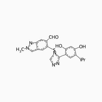 CC(C)c1cc(-c2nncn2Sc2cc3cn(C)nc3cc2C=O)c(O)cc1O